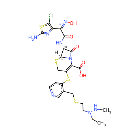 CCN(CCSCc1cnccc1SC1=C(C(=O)O)N2C(=O)[C@@H](NC(=O)/C(=N\O)c3nc(N)sc3Cl)[C@@H]2SC1)NC